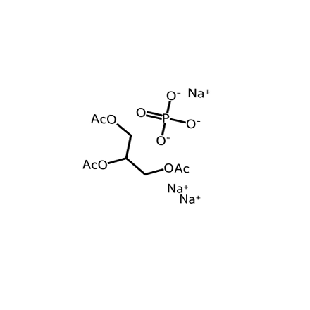 CC(=O)OCC(COC(C)=O)OC(C)=O.O=P([O-])([O-])[O-].[Na+].[Na+].[Na+]